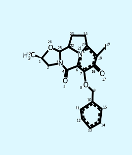 C[C@@H]1CN2C(=O)c3c(OCc4ccccc4)c(=O)c(I)c4n3C(CC4)C2O1